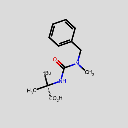 CN(Cc1ccccc1)C(=O)N[C@](C)(C(=O)O)C(C)(C)C